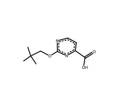 CC(C)(C)COc1nccc(C(=O)O)n1